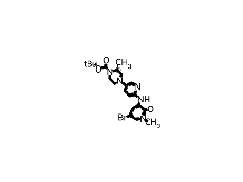 C[C@@H]1CN(c2ccc(Nc3cc(Br)cn(C)c3=O)nc2)CCN1C(=O)OC(C)(C)C